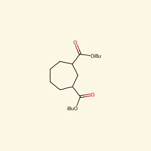 CC(C)COC(=O)C1CCCCC(C(=O)OCC(C)C)C1